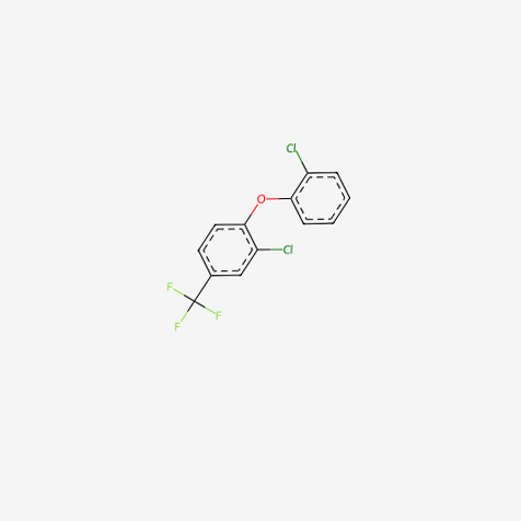 FC(F)(F)c1ccc(Oc2ccccc2Cl)c(Cl)c1